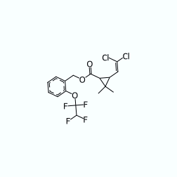 CC1(C)C(C=C(Cl)Cl)C1C(=O)OCc1ccccc1OC(F)(F)C(F)F